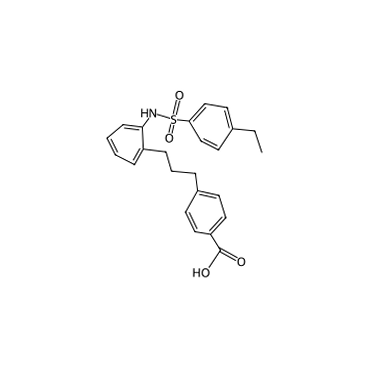 CCc1ccc(S(=O)(=O)Nc2ccccc2CCCc2ccc(C(=O)O)cc2)cc1